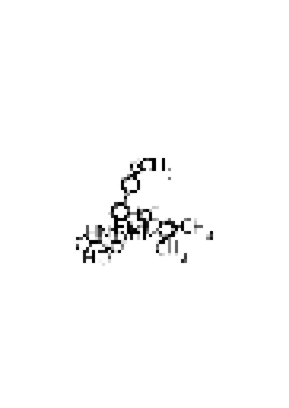 COc1ccc(-c2ccc(C(=O)NC(C(=O)O)C3CCCC3)c(NC(=O)Nc3c(C)cc(C)cc3C)c2)cc1